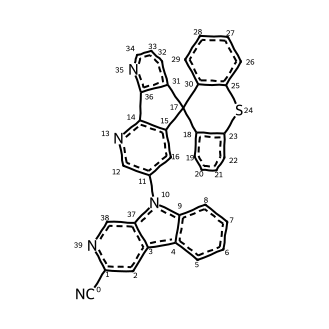 N#Cc1cc2c3ccccc3n(-c3cnc4c(c3)C3(c5ccccc5Sc5ccccc53)c3cccnc3-4)c2cn1